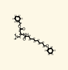 CN(C)C[C@@H](CC(=O)OCc1ccccc1)NC(=O)CCCCCCCCOc1ccccc1